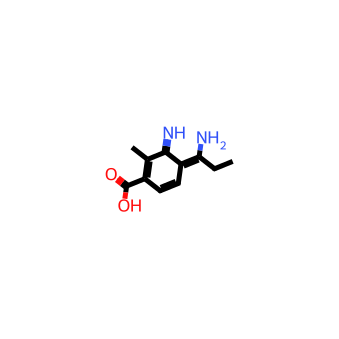 CC/C(N)=C1\C=CC(C(=O)O)=C(C)C1=N